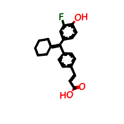 O=C(O)C=Cc1ccc(C(=C2CCCCC2)c2ccc(O)c(F)c2)cc1